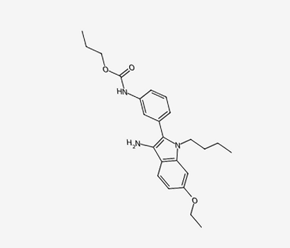 CCCCn1c(-c2cccc(NC(=O)OCCC)c2)c(N)c2ccc(OCC)cc21